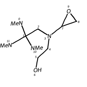 CNC(CN(CCO)C1CO1)(NC)NC